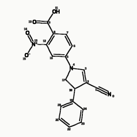 N#CC1=CN(c2ccc(C(=O)O)c([N+](=O)[O-])c2)CC1c1ccccc1